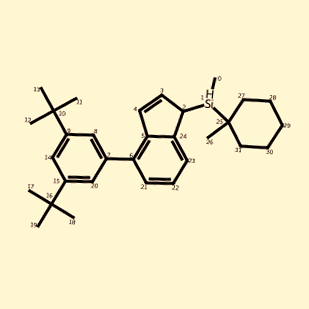 C[SiH](C1C=Cc2c(-c3cc(C(C)(C)C)cc(C(C)(C)C)c3)cccc21)C1(C)CCCCC1